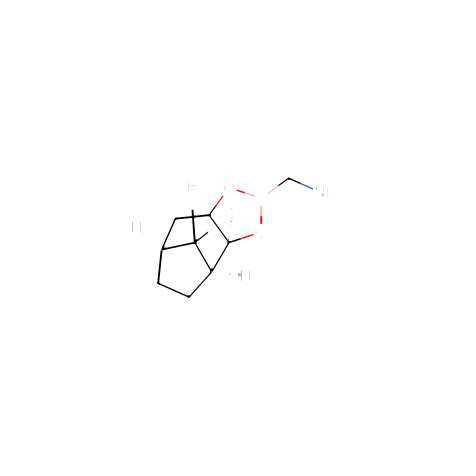 CC1(C)[C@H]2CC[C@@H]1[C@]1(C)OB(CN)O[C@@H]1C2